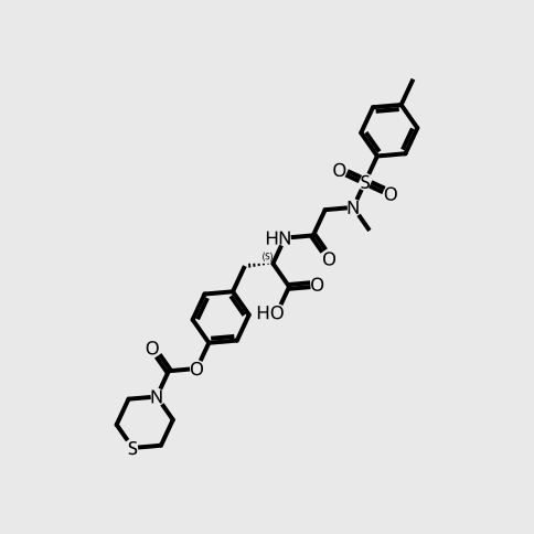 Cc1ccc(S(=O)(=O)N(C)CC(=O)N[C@@H](Cc2ccc(OC(=O)N3CCSCC3)cc2)C(=O)O)cc1